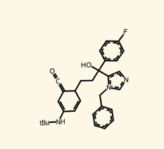 CC(C)(C)NC1=CC(=C=O)C(CCC(O)(c2ccc(F)cc2)c2cncn2Cc2ccccc2)C=C1